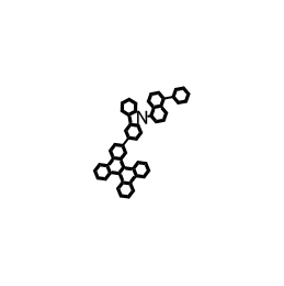 c1ccc(-c2cccc3c(-n4c5ccccc5c5cc(-c6ccc7c8ccccc8c8c9ccccc9c9ccccc9c8c7c6)ccc54)cccc23)cc1